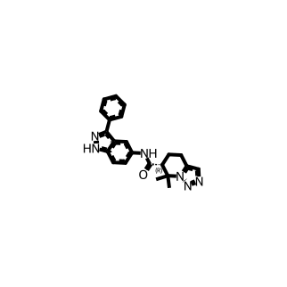 CC1(C)[C@H](C(=O)Nc2ccc3[nH]nc(-c4ccccc4)c3c2)CCc2cnnn21